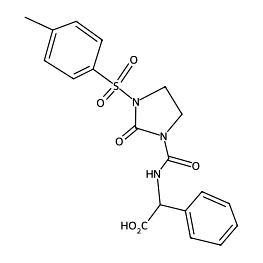 Cc1ccc(S(=O)(=O)N2CCN(C(=O)NC(C(=O)O)c3ccccc3)C2=O)cc1